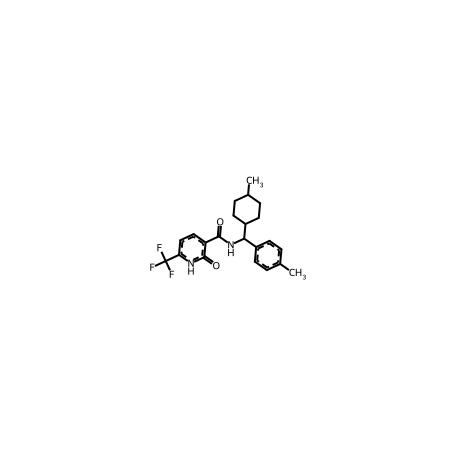 Cc1ccc(C(NC(=O)c2ccc(C(F)(F)F)[nH]c2=O)C2CCC(C)CC2)cc1